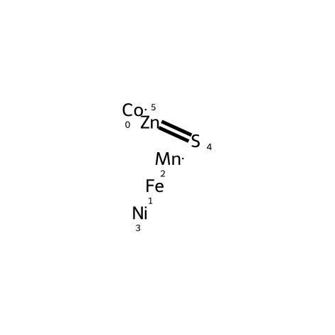 [Co].[Fe].[Mn].[Ni].[S]=[Zn]